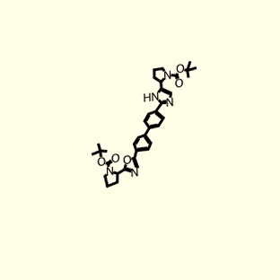 CC(C)(C)OC(=O)N1CCCC1c1cnc(-c2ccc(-c3ccc(-c4cnc(C5CCCN5C(=O)OC(C)(C)C)o4)cc3)cc2)[nH]1